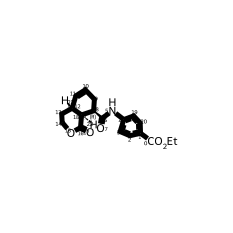 CCOC(=O)c1ccc(NC(=O)[C@@H]2CC=C[C@@H]3CCOC(=O)[C@@H]32)cc1